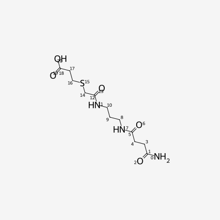 NC(=O)CCC(=O)NCCCNC(=O)CSCCC(=O)O